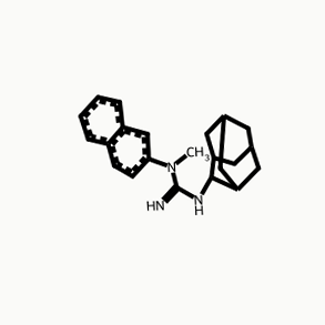 CN(C(=N)NC1C2CC3CC(C2)CC1C3)c1ccc2ccccc2c1